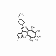 CCN1CCN(c2cc(-c3ccc(F)cc3)c3c(n2)C(O)=C(O)C(O)=C(O)C(O)=C3O)CC1